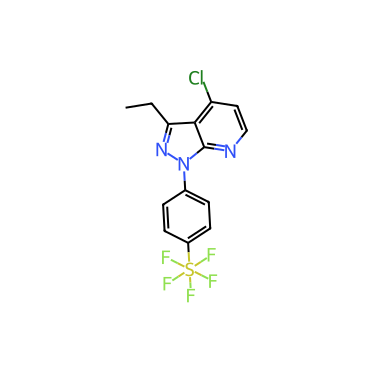 CCc1nn(-c2ccc(S(F)(F)(F)(F)F)cc2)c2nccc(Cl)c12